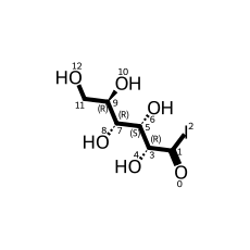 O=C(I)[C@H](O)[C@@H](O)[C@H](O)[C@H](O)CO